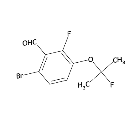 CC(C)(F)Oc1ccc(Br)c(C=O)c1F